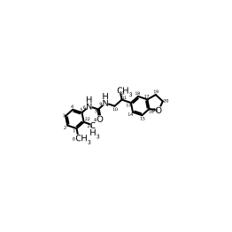 Cc1cccc(NC(=O)NCC(C)c2ccc3c(c2)CCO3)c1C